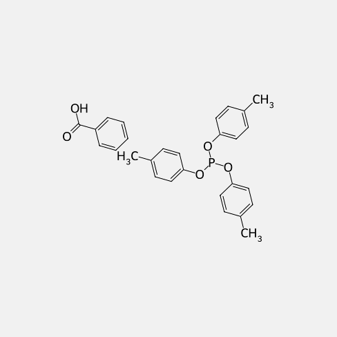 Cc1ccc(OP(Oc2ccc(C)cc2)Oc2ccc(C)cc2)cc1.O=C(O)c1ccccc1